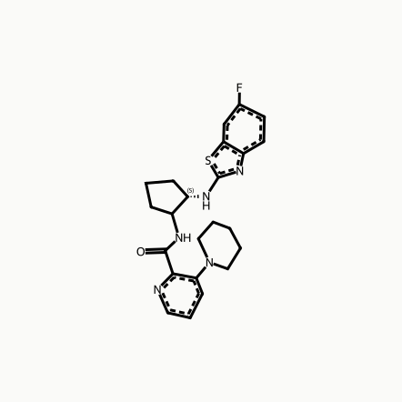 O=C(NC1CCC[C@@H]1Nc1nc2ccc(F)cc2s1)c1ncccc1N1CCCCC1